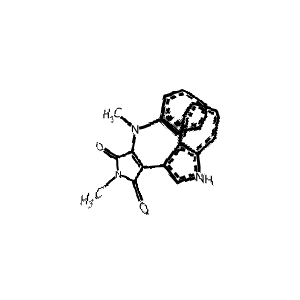 CN1C(=O)C(c2c[nH]c3ccccc23)=C(N(C)c2ccccc2)C1=O